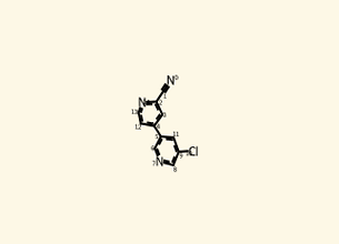 N#Cc1cc(-c2cncc(Cl)c2)ccn1